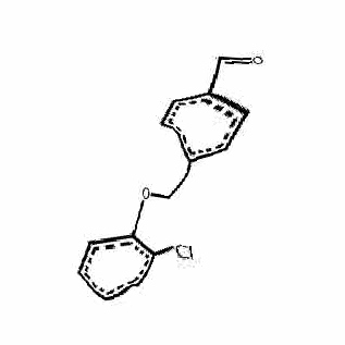 O=[C]c1ccc(COc2ccccc2Cl)cc1